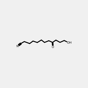 N#CCCCCCCCC(=O)CCCO